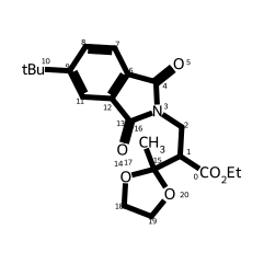 CCOC(=O)C(CN1C(=O)c2ccc(C(C)(C)C)cc2C1=O)C1(C)OCCO1